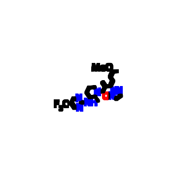 C=C(C(=O)N1CCC[C@@H](Nc2ncc(C(F)(F)F)cn2)[C@@H]1C)/C(=C\C=C(/C)OC)n1nccn1